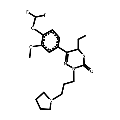 CCC1SC(=O)N(CCCN2CCCC2)N=C1c1ccc(OC(F)F)c(OC)c1